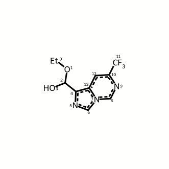 CCOC(O)c1ncn2cnc(C(F)(F)F)cc12